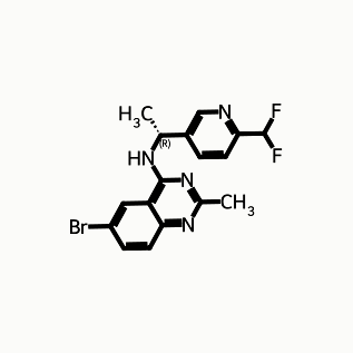 Cc1nc(N[C@H](C)c2ccc(C(F)F)nc2)c2cc(Br)ccc2n1